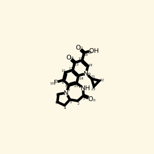 O=C1CC2CCCN2c2c(F)cc3c(=O)c(C(=O)O)cn(C4CC4)c3c2N1